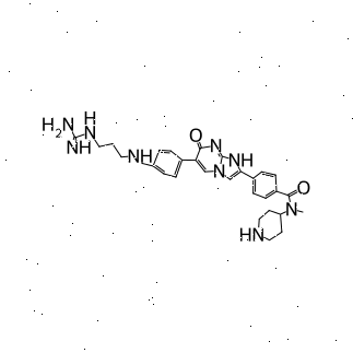 CN(C(=O)c1ccc(-c2cn3cc(-c4ccc(CNCCCNC(=N)N)cc4)c(=O)nc3[nH]2)cc1)C1CCNCC1